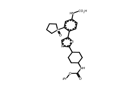 CC(C)OC(=O)NC1CCC(c2ncc(-c3ccc(NC(=O)O)cc3P3(=O)CCCC3)s2)CC1